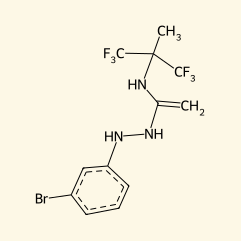 C=C(NNc1cccc(Br)c1)NC(C)(C(F)(F)F)C(F)(F)F